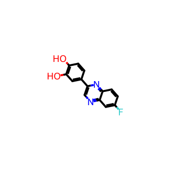 Oc1ccc(-c2cnc3cc(F)ccc3n2)cc1O